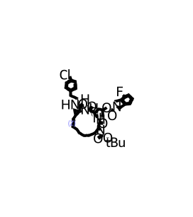 CC(C)(C)OC(=O)NC1CCCCC/C=C\C2CC2(C(=O)NCCc2ccc(Cl)cc2)NC(=O)[C@@H]2CC(OC(=O)N3Cc4cccc(F)c4C3)CN2C1=O